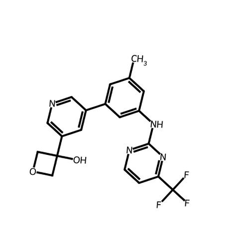 Cc1cc(Nc2nccc(C(F)(F)F)n2)cc(-c2cncc(C3(O)COC3)c2)c1